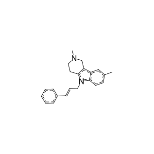 Cc1ccc2c(c1)c1c(n2CC=Cc2ccccc2)CCN(C)C1